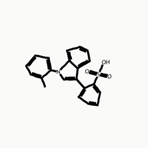 Cc1ccccc1-n1cc(-c2ccccc2S(=O)(=O)O)c2ccccc21